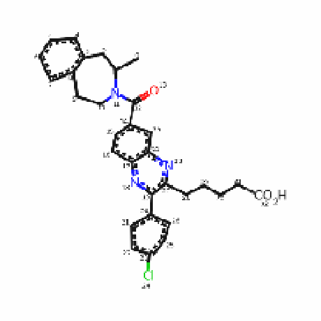 CC1Cc2ccccc2CCN1C(=O)c1ccc2nc(-c3ccc(Cl)cc3)c(CCCCC(=O)O)nc2c1